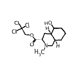 CN1C[C@H]2CCCC(O)[C@H]2C[C@H]1C(=O)OCC(Cl)(Cl)Cl